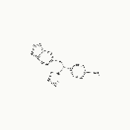 O=[N+]([O-])c1ccc(N(Cc2ccc3nonc3c2)n2cnnc2)cc1